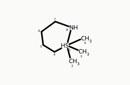 C[SH]1(C)(C)CCCCN1